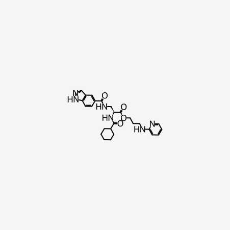 O=C(NC[C@H](NC(=O)C1CCCCC1)C(=O)OCCCNc1ccccn1)c1ccc2[nH]ncc2c1